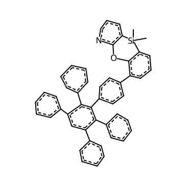 C[Si]1(C)c2cccnc2Oc2c(-c3ccc(-c4c(-c5ccccc5)c(-c5ccccc5)cc(-c5ccccc5)c4-c4ccccc4)cc3)cccc21